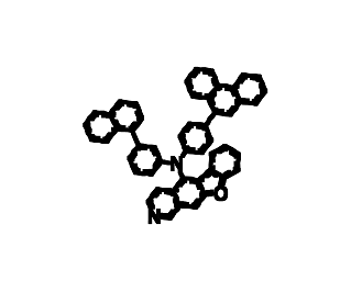 c1cc(-c2cccc3ccccc23)cc(N(c2ccc(-c3cc4ccccc4c4ccccc34)cc2)c2c3ccncc3cc3oc4ccccc4c23)c1